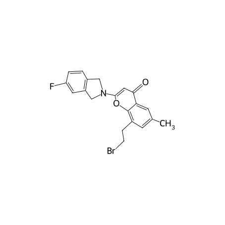 Cc1cc(CCBr)c2oc(N3Cc4ccc(F)cc4C3)cc(=O)c2c1